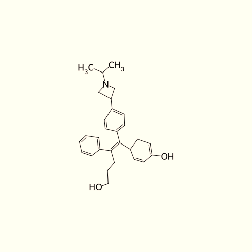 CC(C)N1CC(c2ccc(/C(=C(/CCCO)c3ccccc3)C3C=CC(O)=CC3)cc2)C1